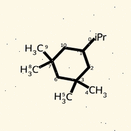 CC(C)C1CC(C)(C)CC(C)(C)C1